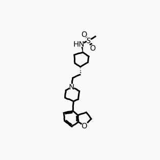 CS(=O)(=O)N[C@H]1CC[C@H](CCN2CCC(c3cccc4c3CCO4)CC2)CC1